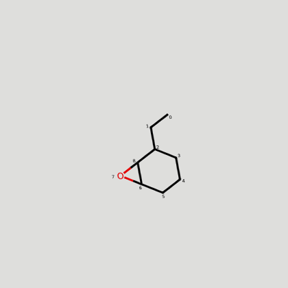 CCC1CCCC2OC12